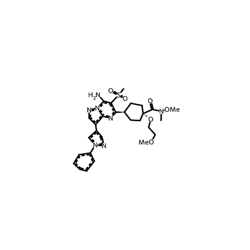 COCCO[C@]1(C(=O)N(C)OC)CC[C@@H](c2nc3c(-c4cnn(-c5ccccc5)c4)cnn3c(N)c2S(C)(=O)=O)CC1